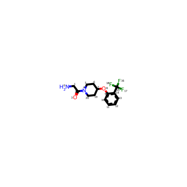 NCC(=O)N1CCC(Oc2ccccc2C(F)(F)F)CC1